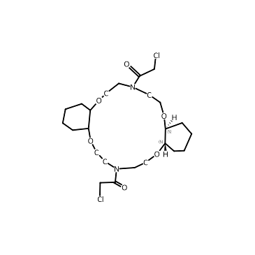 O=C(CCl)N1CCOC2CCCCC2OCCN(C(=O)CCl)CCO[C@H]2CCCC[C@@H]2OCC1